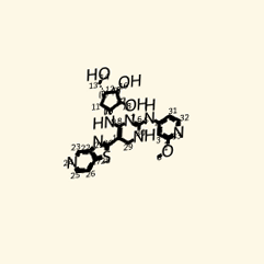 COc1cc(NC2=NC(N[C@@H]3C[C@H](CO)[C@@H](O)[C@H]3O)=C(c3nc4cnccc4s3)CN2)ccn1